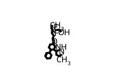 CCN(CCCOC1CCC(C2C=CCCC2)C2C3CC(C)CN=C3NC12)C(F)(F)CO